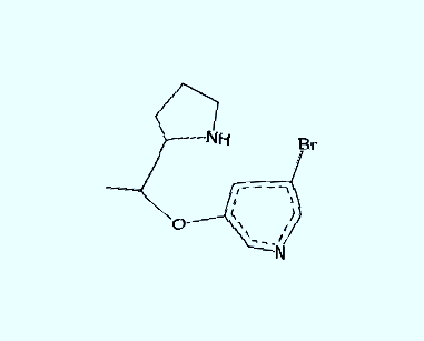 CC(Oc1cncc(Br)c1)C1CCCN1